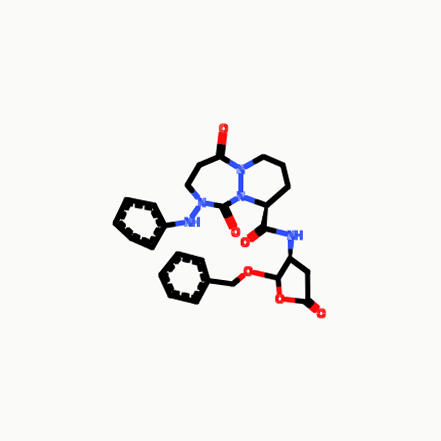 O=C1C[C@H](NC(=O)[C@@H]2CCCN3C(=O)CCN(Nc4ccccc4)C(=O)N23)C(OCc2ccccc2)O1